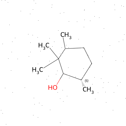 CC1CC[C@H](C)C(O)C1(C)C